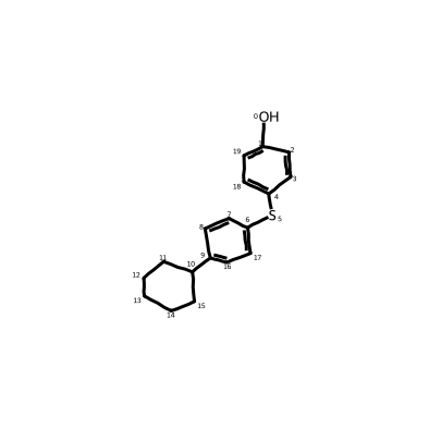 Oc1ccc(Sc2ccc(C3CCCCC3)cc2)cc1